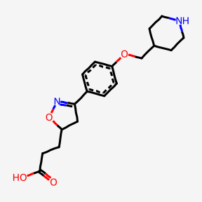 O=C(O)CCC1CC(c2ccc(OCC3CCNCC3)cc2)=NO1